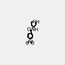 O=C(NC1CCNCC1)c1ccc([N+](=O)[O-])cc1